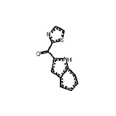 O=C(c1cc2ccccc2[nH]1)c1nccs1